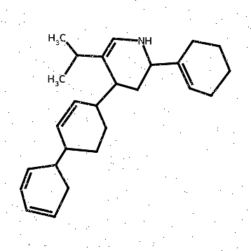 CC(C)C1=CNC(C2=CCCCC2)CC1C1C=CC(C2C=CC=CC2)CC1